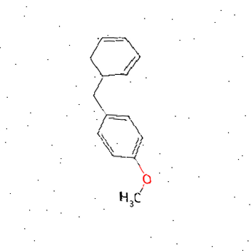 COc1ccc(CC2C=CC=[C]C2)cc1